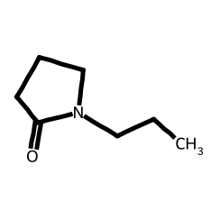 CCCN1CCCC1=O